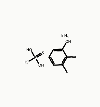 Cc1cccc(O)c1C.OP(O)(=S)S.[InH3]